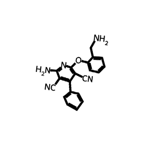 N#Cc1c(N)nc(Oc2ccccc2CN)c(C#N)c1-c1ccccc1